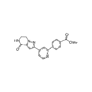 COC(=O)c1ccc(-c2cc(-c3cc4n(n3)CCNC4=O)ccn2)cc1